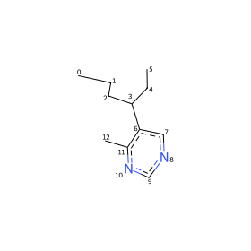 CCCC(CC)c1cncnc1C